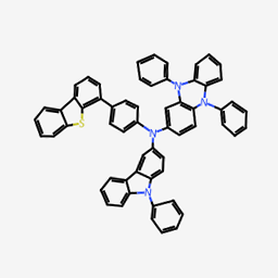 c1ccc(N2c3ccccc3N(c3ccccc3)c3cc(N(c4ccc(-c5cccc6c5sc5ccccc56)cc4)c4ccc5c(c4)c4ccccc4n5-c4ccccc4)ccc32)cc1